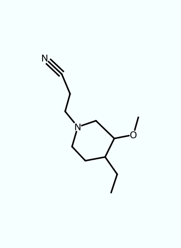 CCC1CCN(CCC#N)CC1OC